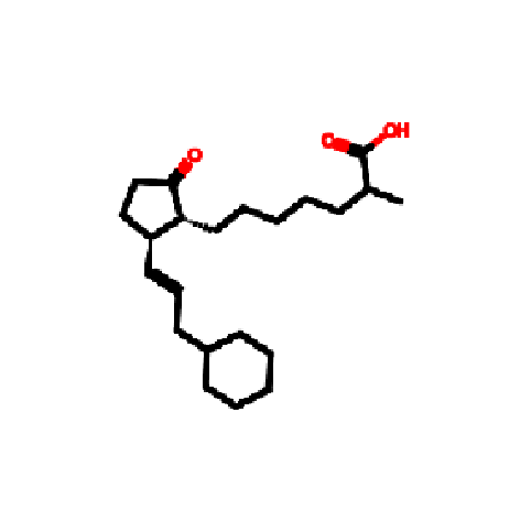 CC(CCCCC[C@H]1C(=O)CC[C@@H]1/C=C/CC1CCCCC1)C(=O)O